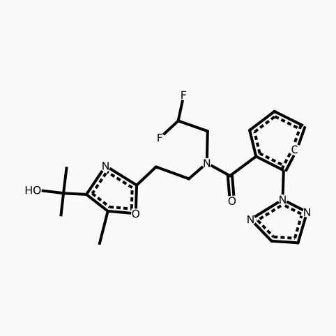 Cc1oc(CCN(CC(F)F)C(=O)c2ccccc2-n2nccn2)nc1C(C)(C)O